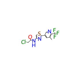 Cc1cc(-c2nc(NC(=O)CCl)cs2)cnc1C(F)(F)F